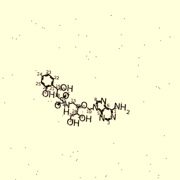 Nc1ncnc2c1ncn2CO[C@H](CNS(=O)(=O)CC(O)c1ccccc1O)C(O)CO